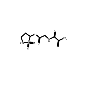 C=C(C(=O)NCC(=O)OC1CCNS1(=O)=O)C(F)(F)F